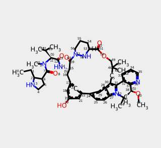 CCC1NCCC1C(=O)N(C)[C@H](C(=O)N[C@H]1Cc2cc(O)cc(c2)-c2ccc3c(c2)c(c(-c2cccnc2[C@H](C)OC)n3CC)CC(C)(C)COC(=O)[C@@H]2CCCN(N2)C1=O)C(C)C